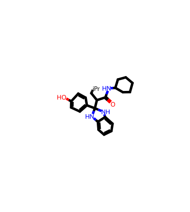 CC(C)CC(C(=O)NC1CCCCC1)C1(c2ccc(O)cc2)Nc2ccccc2N1